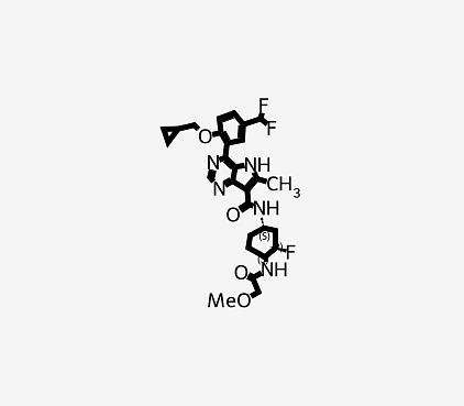 COCC(=O)N[C@H]1CC[C@H](NC(=O)c2c(C)[nH]c3c(-c4cc(C(F)F)ccc4OCC4CC4)ncnc23)C[C@H]1F